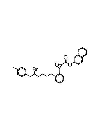 Cc1ccc(CC(Br)CCCCc2ccccc2C2OC2C(=O)Oc2ccc3ccccc3c2)cc1